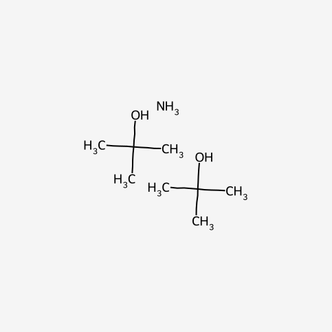 CC(C)(C)O.CC(C)(C)O.N